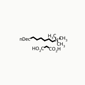 CCCCCCCCCCCCCCCC[N+](C)(C)C.O=C(O)CC(=O)O